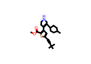 COC(=O)c1sc(C#CC(C)(C)C)cc1C1=C(C2CCC(C)CC2)CNCC1